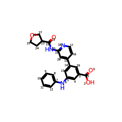 O=C(O)c1cc(Nc2ccccc2)cc(-c2ccnc(NC(=O)C3CCOC3)c2)c1